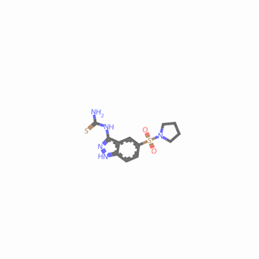 NC(=S)Nc1n[nH]c2ccc(S(=O)(=O)N3CCCC3)cc12